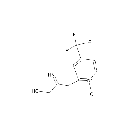 N=C(CO)Cc1cc(C(F)(F)F)cc[n+]1[O-]